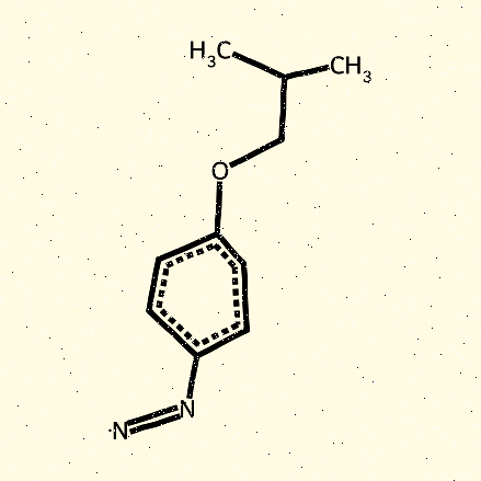 CC(C)COc1ccc(N=[N])cc1